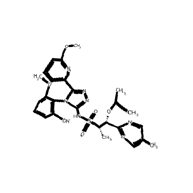 COC1=NC(c2nnc(NS(=O)(=O)[C@@H](C)[C@H](OC(C)C)c3ncc(C)cn3)n2-c2c(O)cccc2OC)=C=C=C1